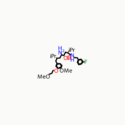 COCCCOc1cc(C[C@@H](C[C@H](N)[C@@H](O)C[C@H](C(=O)NCCc2cccc(F)c2)C(C)C)C(C)C)ccc1OC